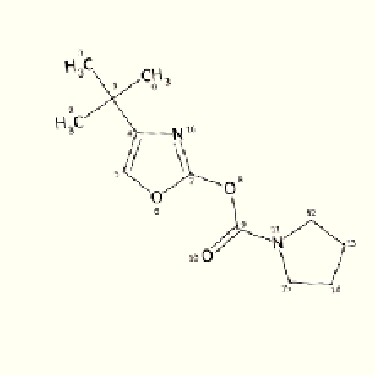 CC(C)(C)c1coc(OC(=O)N2CCCC2)n1